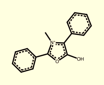 C[n+]1c(-c2ccccc2)oc(O)c1-c1ccccc1